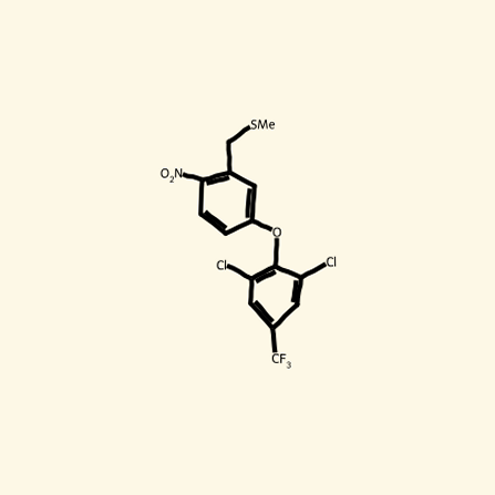 CSCc1cc(Oc2c(Cl)cc(C(F)(F)F)cc2Cl)ccc1[N+](=O)[O-]